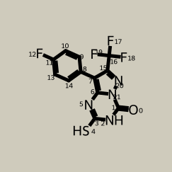 O=c1[nH]c(S)nc2c(-c3ccc(F)cc3)c(C(F)(F)F)nn12